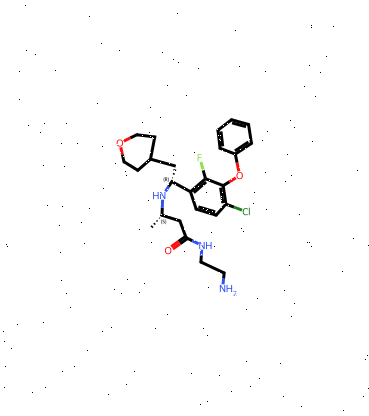 C[C@@H](CC(=O)NCCN)N[C@H](CC1CCOCC1)c1ccc(Cl)c(Oc2ccccc2)c1F